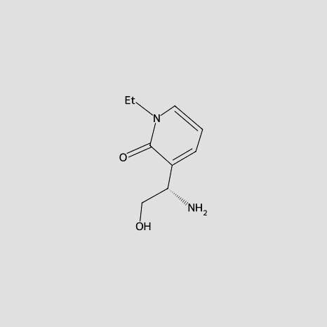 CCn1cccc([C@H](N)CO)c1=O